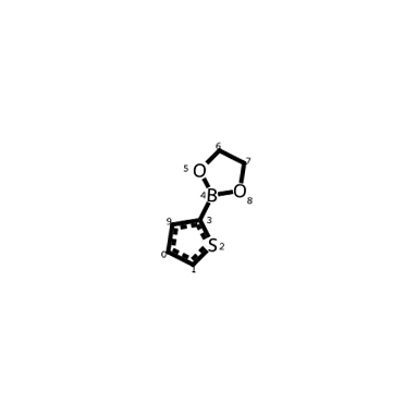 c1csc(B2OCCO2)c1